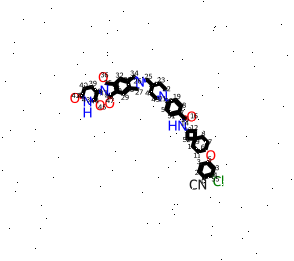 N#Cc1ccc(OC2CCC3(CC2)CC(NC(=O)c2ccc(N4CCC(CN5Cc6cc7c(cc6C5)C(=O)N(C5CCC(=O)NC5=O)C7=O)CC4)cc2)C3)cc1Cl